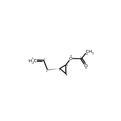 C=CC[C@H]1CC1OC(C)=O